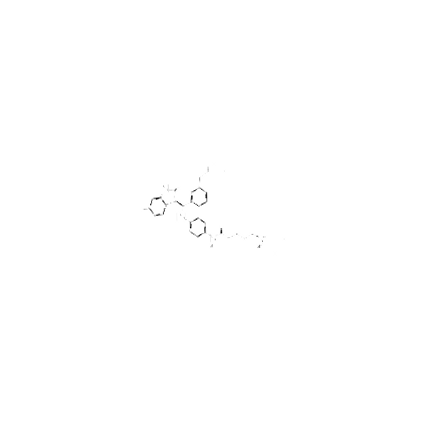 CCOC(=O)CCc1cccc(C(Nc2ccc(N(C)C(=O)CCCCN(C)C)cc2)=C2C(=O)Nc3cc(F)ccc32)c1